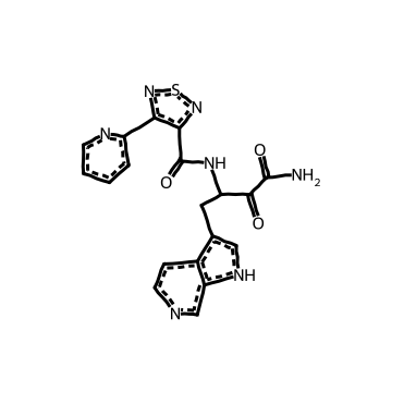 NC(=O)C(=O)C(Cc1c[nH]c2cnccc12)NC(=O)c1nsnc1-c1ccccn1